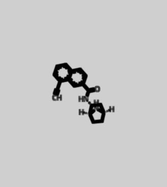 C#Cc1cccc2ccc(C(=O)N[C@@H]3C[C@H]4CC[C@@H]3N4)cc12